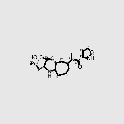 CC(C)C[C@H](NC1CCCC(NC(=O)[C@@H]2CCON2)CC1)C(=O)C(=O)O